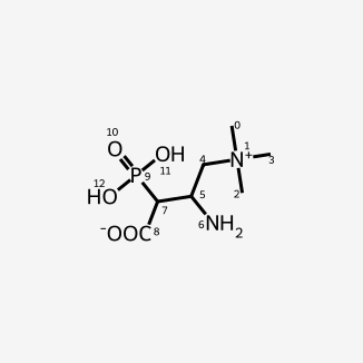 C[N+](C)(C)CC(N)C(C(=O)[O-])P(=O)(O)O